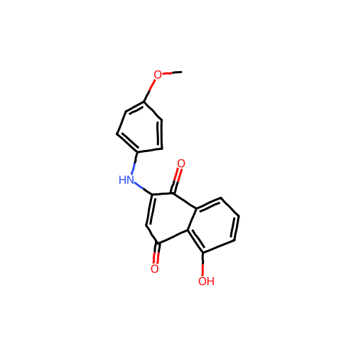 COc1ccc(NC2=CC(=O)c3c(O)cccc3C2=O)cc1